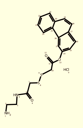 Cl.NCCNC(=O)CSSCC(=O)Oc1ccc2ccc3ccccc3c2c1